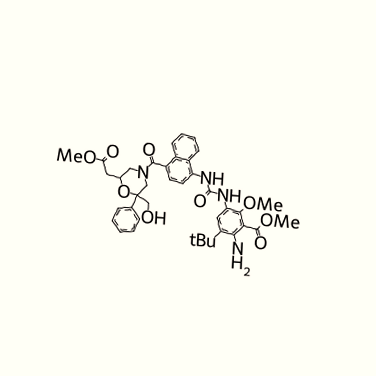 COC(=O)CC1CN(C(=O)c2ccc(NC(=O)Nc3cc(C(C)(C)C)c(N)c(C(=O)OC)c3OC)c3ccccc23)CC(CO)(c2ccccc2)O1